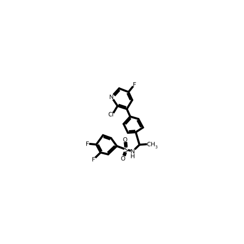 CC(NS(=O)(=O)c1ccc(F)c(F)c1)c1ccc(-c2cc(F)cnc2Cl)cc1